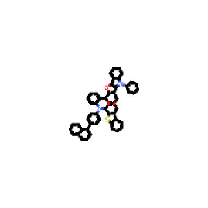 c1ccc(-n2c3ccccc3c3oc4c(-c5ccccc5N(c5ccc(-c6cccc7ccccc67)cc5)c5cccc6c5sc5ccccc56)cccc4c32)cc1